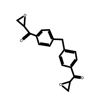 O=C(c1ccc(Cc2ccc(C(=O)C3CO3)cc2)cc1)C1CO1